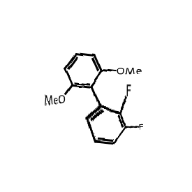 COc1cccc(OC)c1-c1cccc(F)c1F